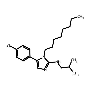 CCCCCCCCn1c(-c2ccc(Cl)cc2)cnc1NCC(C)C